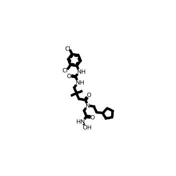 CC(C)(CNC(=O)Nc1ccc(Cl)cc1Cl)CC(=O)N(CCC1CCCC1)CC(=O)NO